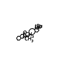 CC(C)(C)N1C(=O)CCC2CCC(CC(C)(C)N3CC4CCCCC4CC3=O)CCCCC21